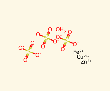 O.O=S(=O)([O-])[O-].O=S(=O)([O-])[O-].O=S(=O)([O-])[O-].[Cu+2].[Fe+2].[Zn+2]